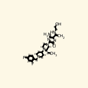 C=C(NCCO)c1nc(Cl)c(N2CCN(C3CCN(Cc4ccc(F)cc4F)CC3)[C@@H](CC)C2)nc1N